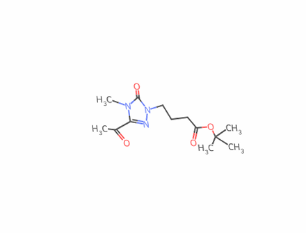 CC(=O)c1nn(CCCC(=O)OC(C)(C)C)c(=O)n1C